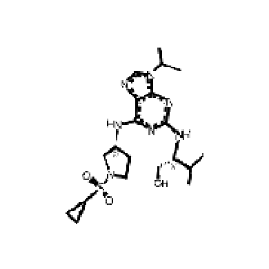 CC(C)[C@H](CO)Nc1nc(N[C@H]2CCN(S(=O)(=O)C3CC3)C2)c2ncn(C(C)C)c2n1